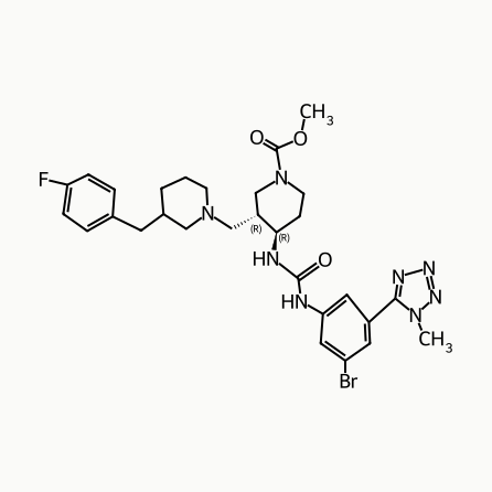 COC(=O)N1CC[C@@H](NC(=O)Nc2cc(Br)cc(-c3nnnn3C)c2)[C@H](CN2CCCC(Cc3ccc(F)cc3)C2)C1